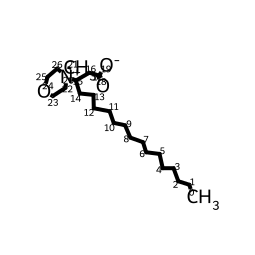 CCCCCCCCCCCCCCCC(CC(=O)[O-])[N+]1(C)CCOCC1